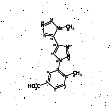 Cc1ccc(C(=O)O)cc1-n1cc(-c2cncn2C)nn1